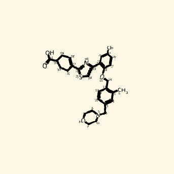 Cc1cc(CN2CCOCC2)ccc1COc1ccc(Cl)cc1-c1csc(C2=CCC(C(=O)O)CC2)n1